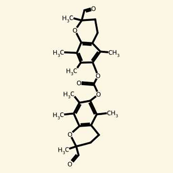 Cc1c(C)c2c(c(C)c1OC(=O)Oc1c(C)c(C)c3c(c1C)CCC(C)(C=O)O3)CCC(C)(C=O)O2